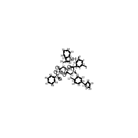 Cc1cc(C)cc(C(=O)N(C)[C@H](Cc2ccc(-c3cccs3)cc2)C(=O)N[C@@H](Cc2c[nH]c3ccccc23)C(=O)NS(=O)(=O)c2ccccc2)c1